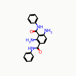 Nc1ccc(C(=O)Nc2ccccc2)c(N)c1C(=O)Nc1ccccc1